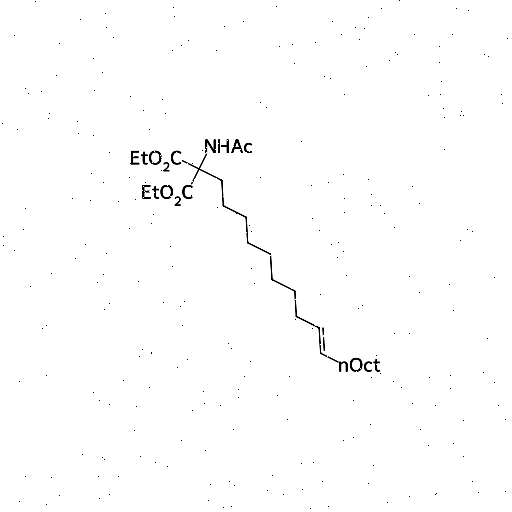 CCCCCCCCC=CCCCCCCCCC(NC(C)=O)(C(=O)OCC)C(=O)OCC